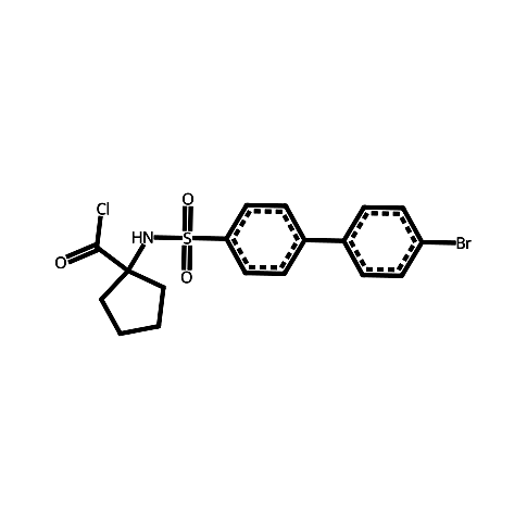 O=C(Cl)C1(NS(=O)(=O)c2ccc(-c3ccc(Br)cc3)cc2)CCCC1